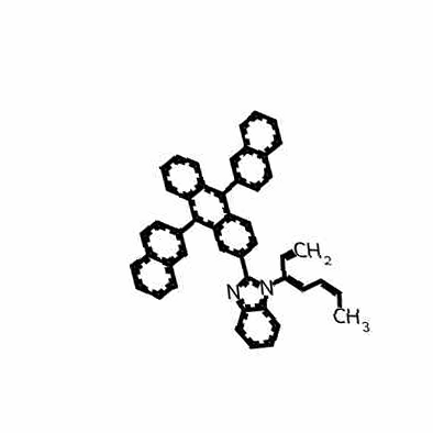 C=C/C(=C\C=C/C)n1c(-c2ccc3c(-c4ccc5ccccc5c4)c4ccccc4c(-c4ccc5ccccc5c4)c3c2)nc2ccccc21